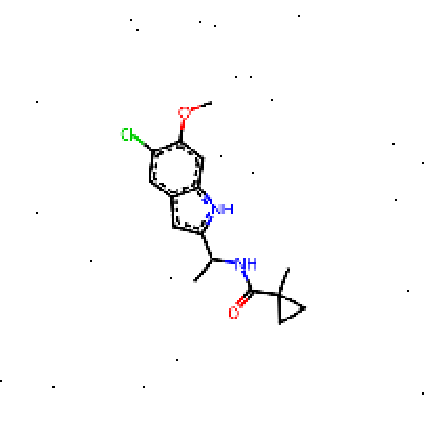 COc1cc2[nH]c(C(C)NC(=O)C3(C)CC3)cc2cc1Cl